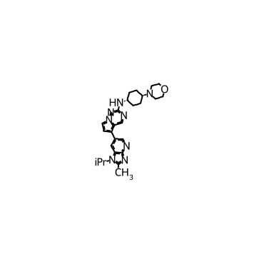 Cc1nc2ncc(-c3ccn4nc(N[C@H]5CC[C@H](N6CCOCC6)CC5)ncc34)cc2n1C(C)C